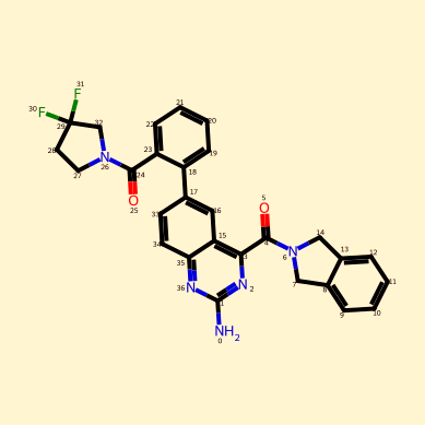 Nc1nc(C(=O)N2Cc3ccccc3C2)c2cc(-c3ccccc3C(=O)N3CCC(F)(F)C3)ccc2n1